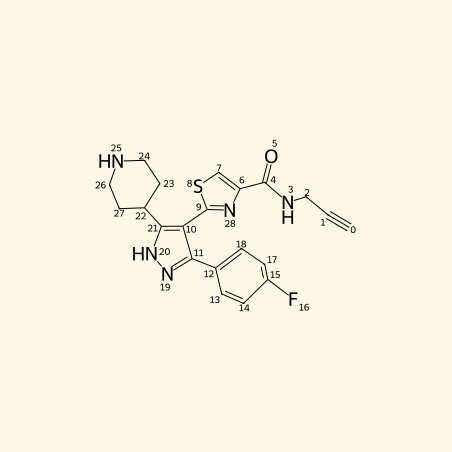 C#CCNC(=O)c1csc(-c2c(-c3ccc(F)cc3)n[nH]c2C2CCNCC2)n1